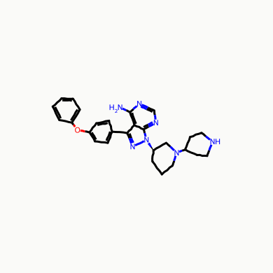 Nc1ncnc2c1c(-c1ccc(Oc3ccccc3)cc1)nn2[C@@H]1CCCN(C2CCNCC2)C1